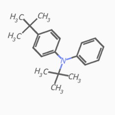 CC(C)(C)c1ccc(N(c2ccccc2)C(C)(C)C)cc1